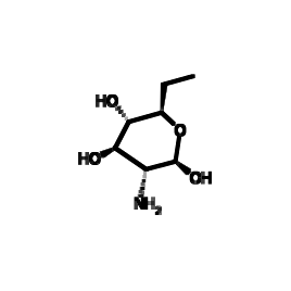 CC[C@H]1O[C@@H](O)[C@H](N)[C@@H](O)[C@@H]1O